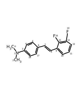 CN(C)c1ccc(/C=C/c2cccc(F)c2F)cc1